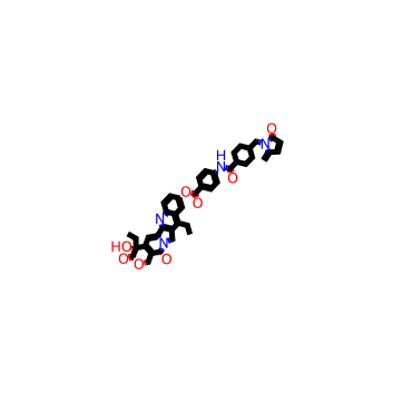 C=C1C=CC(=O)N1CC1CCC(C(=O)Nc2ccc(C(=O)Oc3ccc4nc5c(c(CC)c4c3)Cn3c-5cc4c(c3=O)COC(=O)[C@]4(O)CC)cc2)CC1